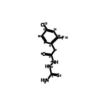 NC(=S)NNC(=O)Cc1ccc(Cl)cc1F